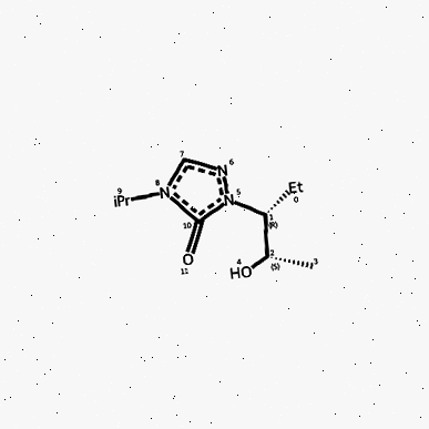 CC[C@H]([C@H](C)O)n1ncn(C(C)C)c1=O